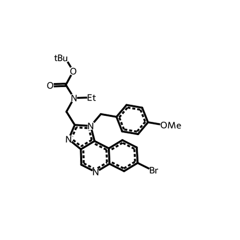 CCN(Cc1nc2cnc3cc(Br)ccc3c2n1Cc1ccc(OC)cc1)C(=O)OC(C)(C)C